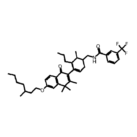 CCCCC(C)CCOc1ccc2c(c1)C(C)(C)C(C)=C(C1=CCC(CNC(=O)c3cccc(C(F)(F)F)c3)C(C)C1CCC)C2=O